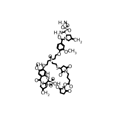 C=C1C[C@H]2C(S(=O)(=O)O)Nc3cc(OCCP(=O)(CCOc4ccc(C(=O)N5CC(=C)C[C@H]5C(N)S(=O)(=O)ON)cc4OC)CCSC4CC(=O)N(CCCC(=O)ON5C(=O)CCC5=O)C4=O)c(OC)cc3C(=O)N2C1